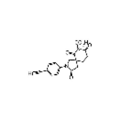 C#Cc1ccc(N2CC3(CCC(=O)N(C(=O)O)C3=O)CC2=O)cc1